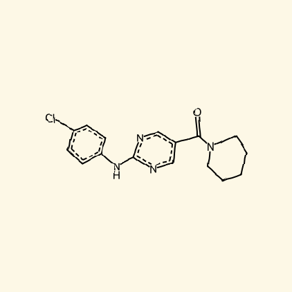 O=C(c1cnc(Nc2ccc(Cl)cc2)nc1)N1CCCCC1